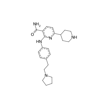 NC(=O)c1ccc(C2CCNCC2)nc1Nc1ccc(CCN2CCCC2)cc1